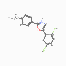 O=C(O)c1ccc(-c2ncc(C3CC(F)=CC=C3F)o2)cc1